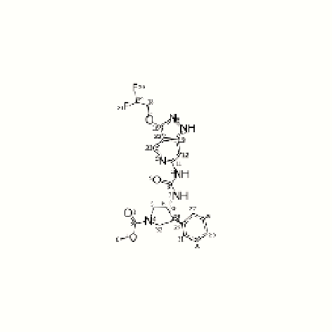 COC(=O)N1C[C@H](NC(=O)Nc2cc3[nH]nc(OCC(F)F)c3cn2)[C@@H](c2ccccc2)C1